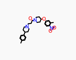 Cc1ccc(C2CCN(CCC(=O)N3CCC(Oc4ccc([N+](=O)[O-])c(C)c4)CC3)CC2)cc1